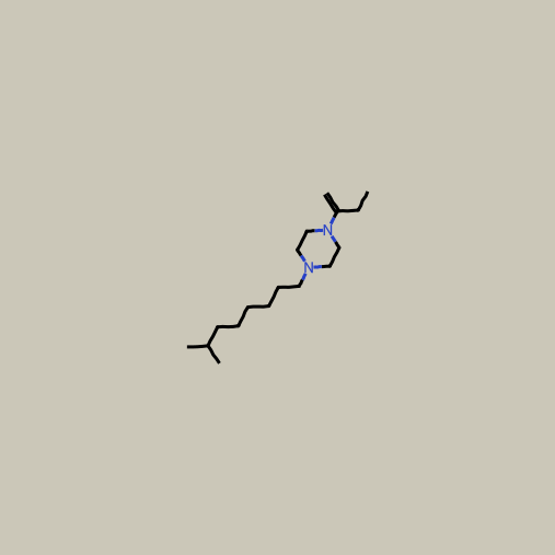 C=C(CC)N1CCN(CCCCCCC(C)C)CC1